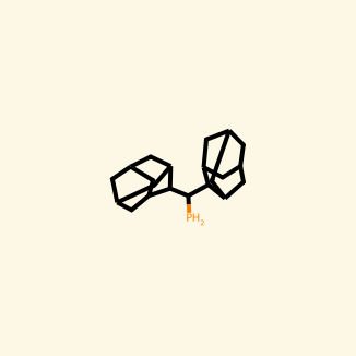 PC(C1C2CC3CC(C2)CC1C3)C1C2CC3CC(C2)CC1C3